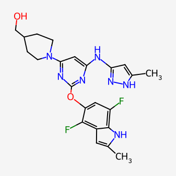 Cc1cc(Nc2cc(N3CCC(CO)CC3)nc(Oc3cc(F)c4[nH]c(C)cc4c3F)n2)n[nH]1